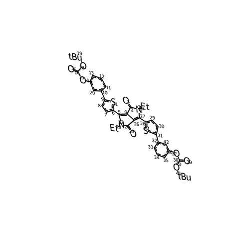 CCN1C(=O)C2=C(c3ccc(-c4cccc(OC(=O)OC(C)(C)C)c4)s3)N(CC)C(=O)C2=C1c1ccc(-c2cccc(OC(=O)OC(C)(C)C)c2)s1